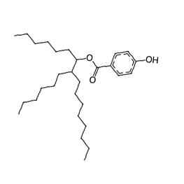 CCCCCCCCC(CCCCCC)C(CCCCCC)OC(=O)c1ccc(O)cc1